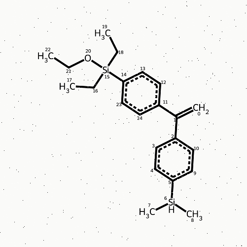 C=C(c1ccc([SiH](C)C)cc1)c1ccc([Si](CC)(CC)OCC)cc1